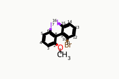 COc1cccc(I)c1-c1c(Br)cccc1I